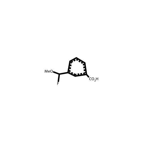 COC(F)c1cccc(C(=O)O)c1